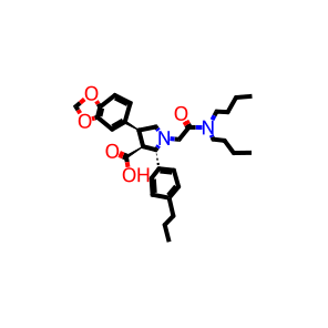 CCCCN(CCCC)C(=O)CN1C[C@H](c2ccc3c(c2)OCO3)[C@H](C(=O)O)[C@H]1c1ccc(CCC)cc1